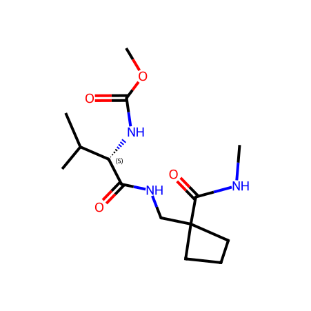 CNC(=O)C1(CNC(=O)[C@@H](NC(=O)OC)C(C)C)CCC1